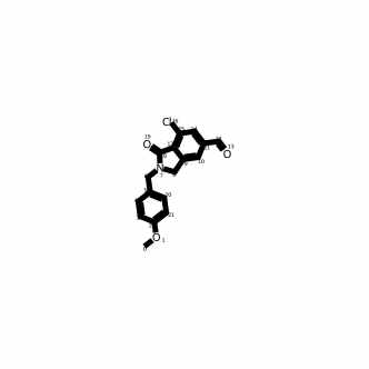 COc1ccc(CN2Cc3cc(C=O)cc(Cl)c3C2=O)cc1